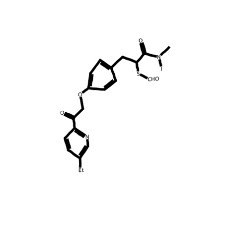 CCc1ccc(C(=O)COc2ccc(CC(SC=O)C(=O)N(C)I)cc2)nc1